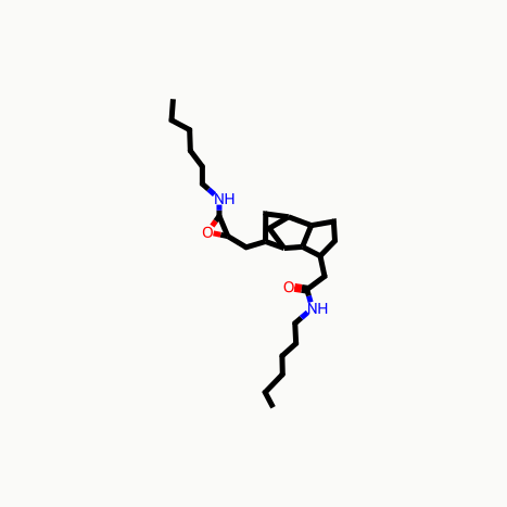 CCCCCCNC(=O)CC1CCC2C3CC(CC4OC4NCCCCCC)C(C3)C12